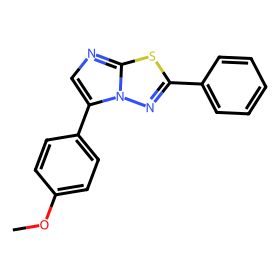 COc1ccc(-c2cnc3sc(-c4ccccc4)nn23)cc1